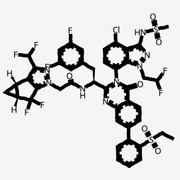 CCS(=O)(=O)c1ccccc1-c1ccc2c(=O)n(-c3ccc(Cl)c4c(NS(C)(=O)=O)nn(CC(F)F)c34)c([C@H](Cc3cc(F)cc(F)c3)NC(=O)Cn3nc(C(F)F)c4c3C(F)(F)[C@@H]3C[C@H]43)nc2c1